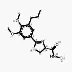 CCCc1cc(C2=N[C@@H](C(=O)NO)CO2)cc(OC)c1OC